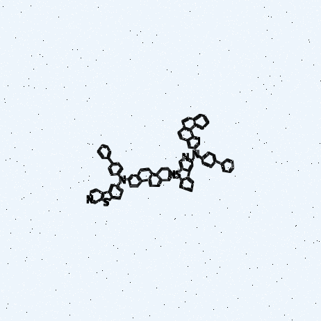 c1ccc(-c2ccc(N(c3ccc4c(ccc5c6ccc([SH]7c8ccccc8-c8cc(N(c9ccc(-c%10ccccc%10)cc9)c9ccc%10c(ccc%11ccc%12ccccc%12c%11%10)c9)ncc87)cc6ccc45)c3)c3ccc4sc5cnccc5c4c3)cc2)cc1